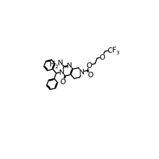 Nc1nc2c(c(=O)n1C(c1ccccc1)c1ccccc1)CCN(C(=O)OCCOCC(F)(F)F)C2